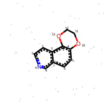 c1cc2c3c(ccc2cn1)OCCO3